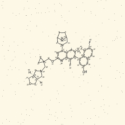 Cc1cc2c(N3CC4CCC(C3)N4)nc(OCC3(CN4C[C@H]5COC[C@H]5C4)CC3)nc2c(F)c1-c1cc(O)cc2ccc(F)c(F)c12